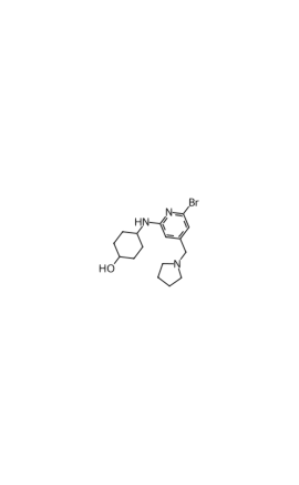 OC1CCC(Nc2cc(CN3CCCC3)cc(Br)n2)CC1